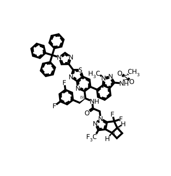 Cn1nc(NS(C)(=O)=O)c2cccc(-c3cc4sc(-c5cn(C(c6ccccc6)(c6ccccc6)c6ccccc6)cn5)nc4nc3[C@H](Cc3cc(F)cc(F)c3)NC(=O)Cn3nc(C(F)(F)F)c4c3C(F)(F)[C@@H]3CC[C@H]43)c21